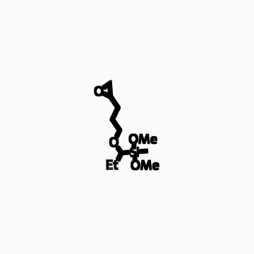 CCC(OCCCC1CO1)[Si](C)(OC)OC